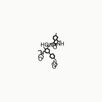 CCN(c1cc(-c2ccc(CN3CCOCC3)cc2)cc(C(O)NCc2c(=O)[nH]c(C)c3cc(C)ccc23)c1C)C1CCOCC1